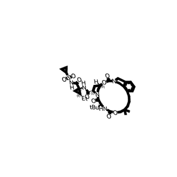 CC[C@@H]1C[C@]1(NC(=O)[C@@H]1C[C@@H]2CN1C(=O)[C@H](C(C)(C)C)NC(=O)OCC(C)(C)CCCc1cccc3c1CN(C3)C(=O)O2)C(=O)NS(=O)(=O)C1CC1